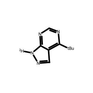 [2H]n1ncc2c(C(C)(C)C)ncnc21